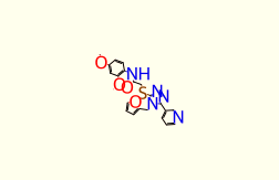 COc1ccc(NC(=O)CSc2nnc(-c3cccnc3)n2Cc2ccco2)c(OC)c1